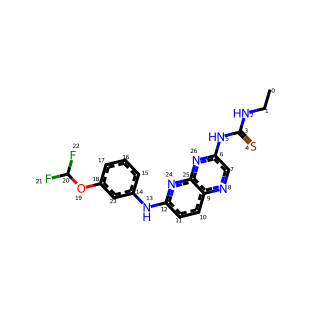 CCNC(=S)Nc1cnc2ccc(Nc3cccc(OC(F)F)c3)nc2n1